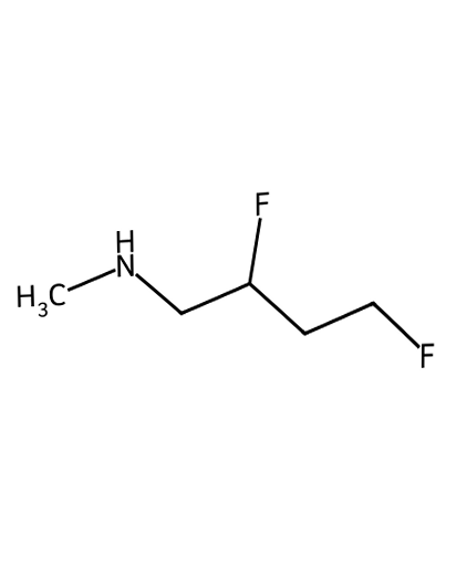 CNCC(F)CCF